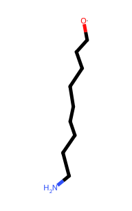 NCCCCCCCCC[O]